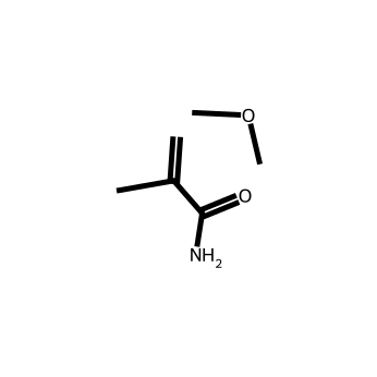 C=C(C)C(N)=O.COC